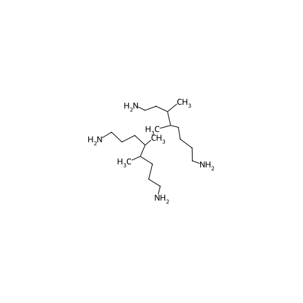 CC(CCCN)C(C)CCCN.CC(CCN)C(C)CCCCN